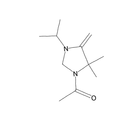 C=C1N(C(C)C)CN(C(C)=O)C1(C)C